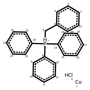 Cl.[Co].c1ccc(C[PH](c2ccccc2)(c2ccccc2)c2ccccc2)cc1